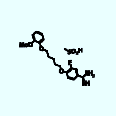 COc1ccccc1OCCCCCOc1ccc(C(=N)N)cc1F.CS(=O)(=O)O